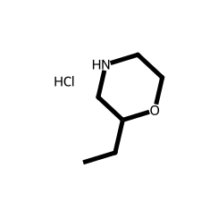 CCC1CNCCO1.Cl